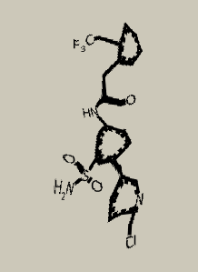 NS(=O)(=O)c1cc(NC(=O)Cc2ccccc2C(F)(F)F)ccc1-c1ccc(Cl)nc1